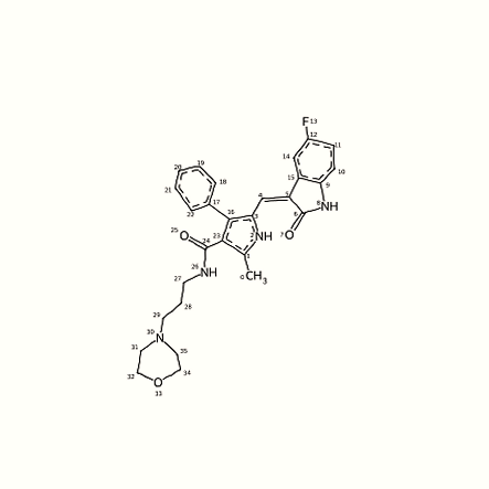 Cc1[nH]c(C=C2C(=O)Nc3ccc(F)cc32)c(-c2ccccc2)c1C(=O)NCCCN1CCOCC1